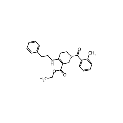 CCOC(=O)C1=C(NCCc2ccccc2)CCN(C(=O)c2ccccc2C)C1